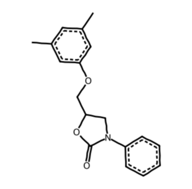 Cc1cc(C)cc(OCC2CN(c3ccccc3)C(=O)O2)c1